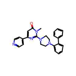 Cn1c(N2CCN(c3ccccc3-c3ccccc3)CC2)nc(-c2ccncc2)cc1=O